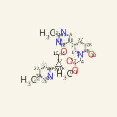 COC(=O)Cn1cc(-c2cnc(C)nc2OCC2C[C@@H]2c2ccc(C)cn2)ccc1=O